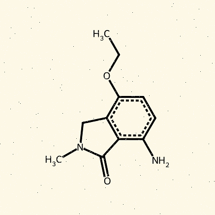 CCOc1ccc(N)c2c1CN(C)C2=O